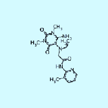 C=CN(CC(=O)Nc1ncccc1C)c1c(N)n(C)c(=O)n(C)c1=O